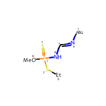 CCSP(=S)(NC=NC(C)CC)OC